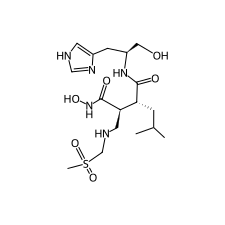 CC(C)C[C@@H](C(=O)N[C@H](CO)Cc1c[nH]cn1)[C@@H](CNCS(C)(=O)=O)C(=O)NO